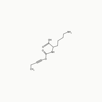 CCC#COC(=O)NC(CCCCN)C(=O)O